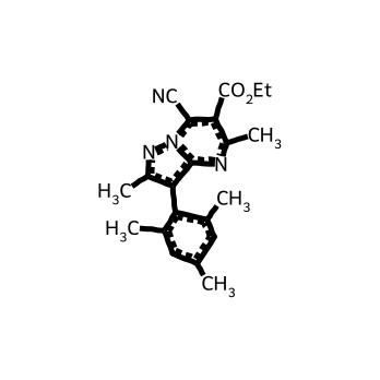 CCOC(=O)c1c(C)nc2c(-c3c(C)cc(C)cc3C)c(C)nn2c1C#N